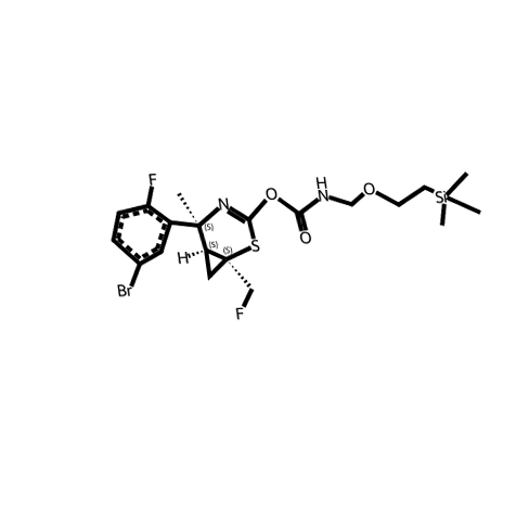 C[C@]1(c2cc(Br)ccc2F)N=C(OC(=O)NCOCC[Si](C)(C)C)S[C@@]2(CF)C[C@H]21